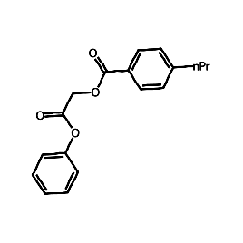 CCCc1ccc(C(=O)OCC(=O)Oc2ccccc2)cc1